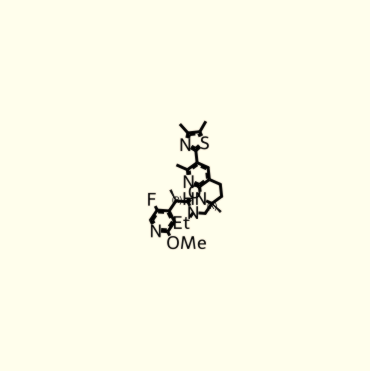 CCN(C[C@@]1(C)CCc2cc(-c3nc(C)c(C)s3)c(C)nc2N1)C(=O)[C@H](C)c1cc(OC)ncc1F